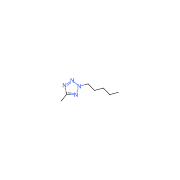 CCCCCn1nnc(C)n1